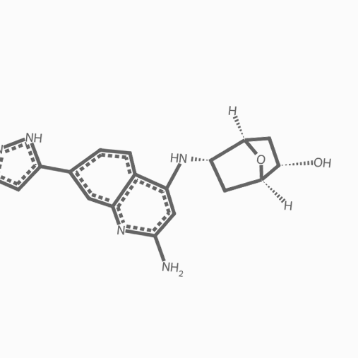 Nc1cc(N[C@H]2C[C@H]3O[C@@H]2C[C@@H]3O)c2ccc(-c3ccn[nH]3)cc2n1